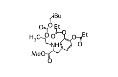 CCC(=O)Oc1ccc(C[C@H](NCC(C)OC(=O)OCC(C)CC)C(=O)OC)cc1OC(=O)CC